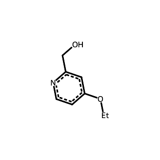 CCOc1ccnc(CO)c1